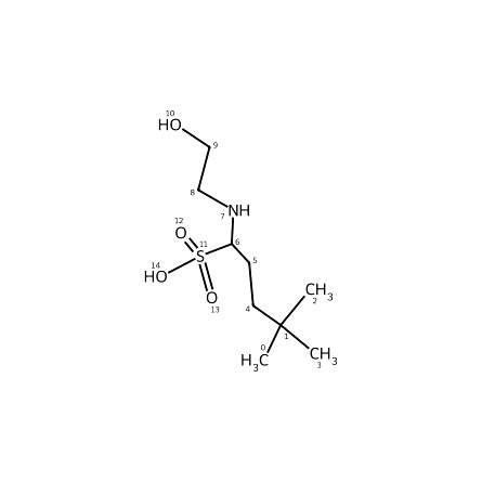 CC(C)(C)CCC(NCCO)S(=O)(=O)O